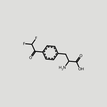 NC(Cc1ccc(C(=O)C(F)F)cc1)C(=O)O